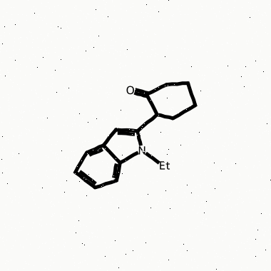 CCn1c(C2CCCCC2=O)cc2ccccc21